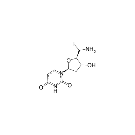 NC(I)[C@@H]1O[C@H](n2ccc(=O)[nH]c2=O)CC1O